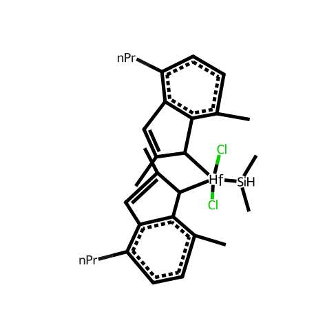 CCCc1ccc(C)c2c1C=C(C)[CH]2[Hf]([Cl])([Cl])([CH]1C(C)=Cc2c(CCC)ccc(C)c21)[SiH](C)C